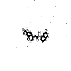 O=C1CCc2cccc(NC(=O)/C=C3\CCOc4cc(C(F)(F)F)ccc43)c2C1